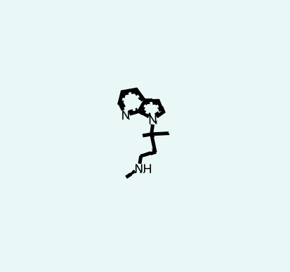 CNCCC(C)(C)n1ccc2cccnc21